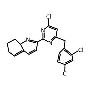 Clc1ccc(Cc2cc(Cl)nc(C3=NC4CCCC=C4C=C3)n2)c(Cl)c1